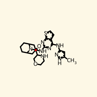 Cc1cc(Nc2nc(NC3CC4CCCC(C3)N4C(=O)C3COCCN3)nc3sccc23)n[nH]1